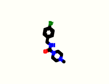 CN1CCN(C(=O)NCc2ccc(Br)cc2)CC1